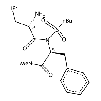 CCCCS(=O)(=O)N(C(=O)[C@@H](N)CC(C)C)[C@@H](Cc1ccccc1)C(=O)NC